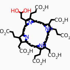 O=C(O)CCC1=C(CC(=O)O)c2cc3[nH]c(cc4[nH]c(cc5nc(cc1n2)C(CC(O)O)=C5CCC(=O)O)c(CC(=O)O)c4CCC(=O)O)c(CC(=O)O)c3CCC(=O)O